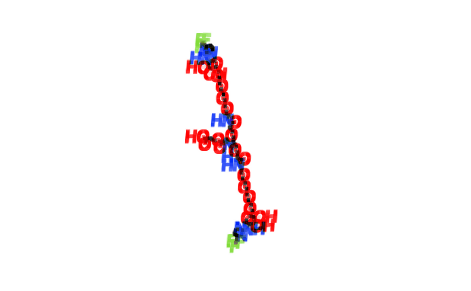 O=C(O)CCOC(=O)CNC(COCCC(=O)NCCOCCOCCOCCOC[C@H]1OC[C@H](Nc2nccc(C(F)(F)F)n2)[C@@H](O)[C@H]1O)COCCC(=O)NCCOCCOCCOCCOC[C@H]1OC[C@H](Nc2nccc(C(F)(F)F)n2)[C@@H](O)[C@H]1O